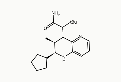 C[C@@H]1[C@H](C2CCCC2)Nc2cccnc2[C@H]1C(C(N)=O)C(C)(C)C